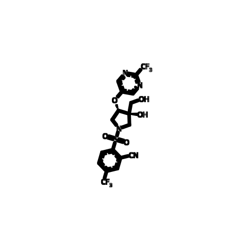 N#Cc1cc(C(F)(F)F)ccc1S(=O)(=O)N1C[C@H](Oc2cnc(C(F)(F)F)nc2)[C@](O)(CO)C1